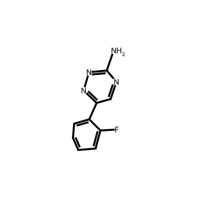 Nc1ncc(-c2ccccc2F)nn1